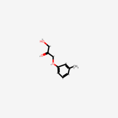 Cc1cccc(OCC(=O)CO)c1